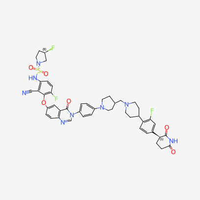 N#Cc1c(NS(=O)(=O)N2CC[C@@H](F)C2)ccc(F)c1Oc1ccc2ncn(-c3ccc(N4CCC(CN5CCC(c6ccc([C@@H]7CCC(=O)NC7=O)cc6F)CC5)CC4)cc3)c(=O)c2c1